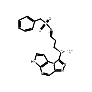 CC[C@@H](C)[C@H](CC/C=N/S(=O)(=O)Cc1ccccc1)c1nnc2cnc3[nH]ccc3n12